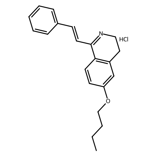 CCCCOc1ccc2c(c1)CCN=C2/C=C/c1ccccc1.Cl